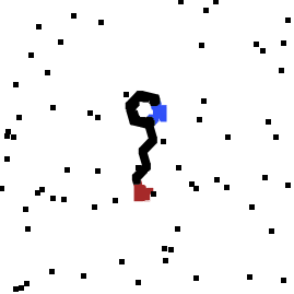 BrCCCCc1ccccn1